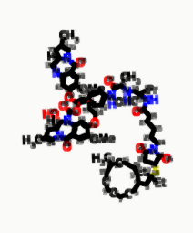 CCC(CC)(CC1CCCCCCCC(C)CCCC1)SC1CC(=O)N(CCCCCC(=O)N[C@@](C=O)(CN[C@@H](C)C(=O)Nc2ccc(COC(=O)N3c4cc(OCCCCCOc5cc6c(cc5OC)C(=O)N5C=C(C)C[C@H]5C=N6)c(OC)cc4C(=O)N4C=C(C)C[C@H]4[C@@H]3O)cc2)C(C)C)C1=O